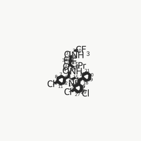 CC(C)[C@H](NC(=O)[C@@H](c1ccc(Cl)cc1)C(N)C[C@H](c1ccccc1)c1cc(Cl)cc(Cl)c1)C(=O)C(F)(F)C(=O)NCC(F)(F)F